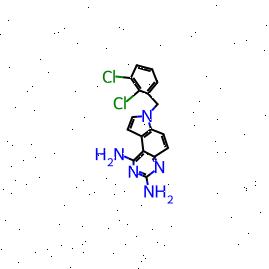 Nc1nc(N)c2c(ccc3c2ccn3Cc2cccc(Cl)c2Cl)n1